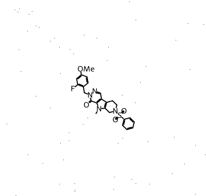 COc1ccc(Cn2ncc3c4c(n(C)c3c2=O)CN(S(=O)(=O)c2ccccc2)CC4)c(F)c1